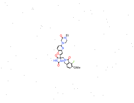 CCN1CCN(c2ccc3oc([C@]4(CN5Cc6ccc(OC)c(F)c6C5=O)NC(=O)NC4=O)cc3n2)CC1=O